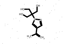 C=C(C)c1cnn(C(CO)(CO)CO)c1